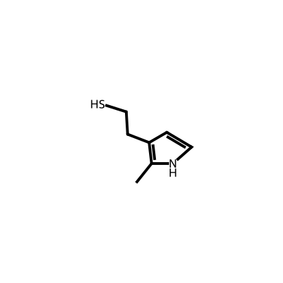 Cc1[nH]ccc1CCS